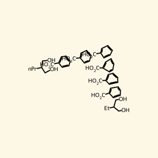 CCC(CO)CO.CCCC(CO)CO.O=C(O)c1ccccc1.O=C(O)c1ccccc1.O=C(O)c1ccccc1.O=C(O)c1ccccc1.O=C(O)c1ccccc1.O=C(O)c1ccccc1